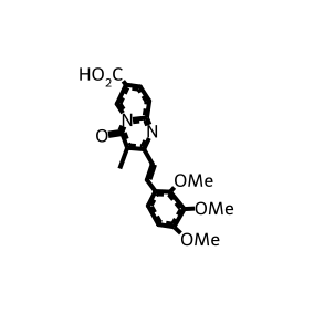 COc1ccc(C=Cc2nc3ccc(C(=O)O)cn3c(=O)c2C)c(OC)c1OC